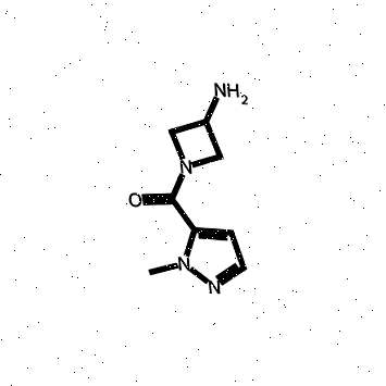 Cn1nccc1C(=O)N1CC(N)C1